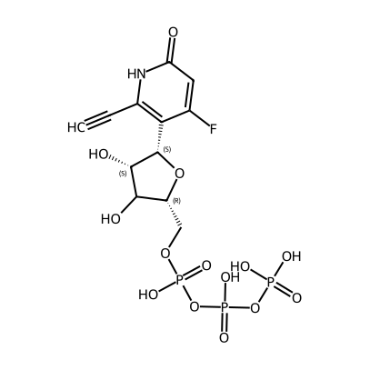 C#Cc1[nH]c(=O)cc(F)c1[C@@H]1O[C@H](COP(=O)(O)OP(=O)(O)OP(=O)(O)O)C(O)[C@@H]1O